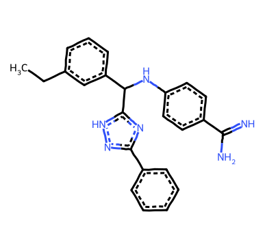 CCc1cccc(C(Nc2ccc(C(=N)N)cc2)c2nc(-c3ccccc3)n[nH]2)c1